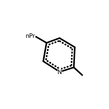 [CH2]CCc1ccc(C)nc1